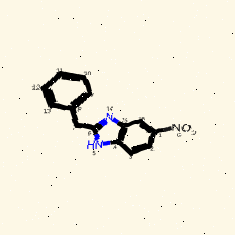 O=[N+]([O-])c1ccc2[nH]c(Cc3ccccc3)nc2c1